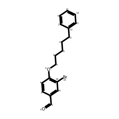 O=Cc1ccc(OCCCCCc2ccccc2)c(Br)c1